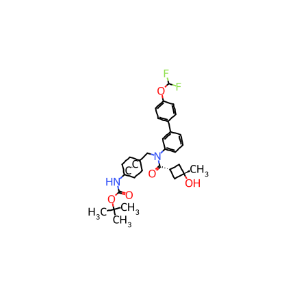 CC(C)(C)OC(=O)NC12CCC(CN(c3cccc(-c4ccc(OC(F)F)cc4)c3)C(=O)[C@H]3C[C@@](C)(O)C3)(CC1)CC2